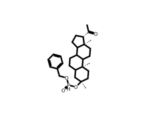 CC(=O)[C@H]1CCC2C3CCC4C[C@](C)(O[PH](=O)OCc5ccccc5)CC[C@]4(C)C3CC[C@@]21C